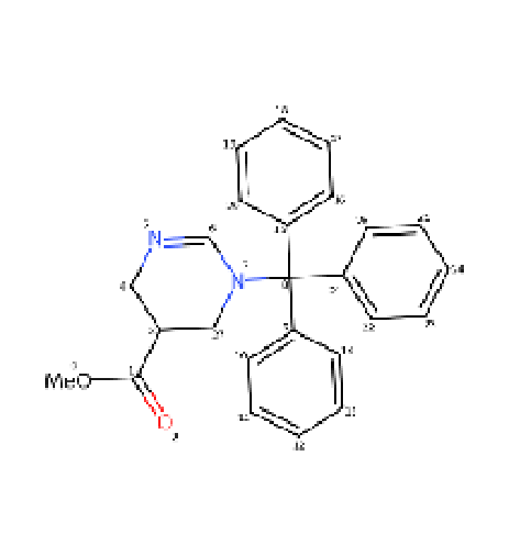 COC(=O)C1CN=CN(C(c2ccccc2)(c2ccccc2)c2ccccc2)C1